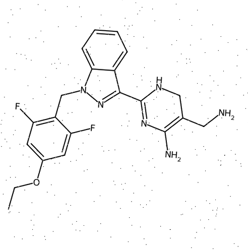 CCOc1cc(F)c(Cn2nc(C3=NC(N)=C(CN)CN3)c3ccccc32)c(F)c1